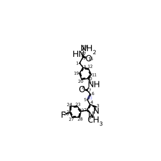 Cn1ncc(/C=C/C(=O)Nc2ccc(CC(=O)NN)cc2)c1-c1ccc(F)cc1